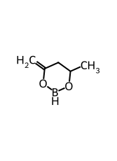 C=C1CC(C)OBO1